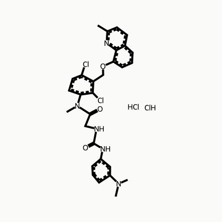 Cc1ccc2cccc(OCc3c(Cl)ccc(N(C)C(=O)CNC(=O)Nc4cccc(N(C)C)c4)c3Cl)c2n1.Cl.Cl